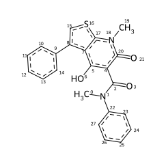 CN(C(=O)c1c(O)c2c(-c3ccccc3)csc2n(C)c1=O)c1ccccc1